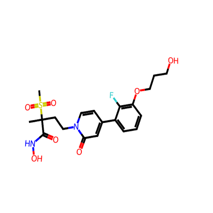 CC(CCn1ccc(-c2cccc(OCCCO)c2F)cc1=O)(C(=O)NO)S(C)(=O)=O